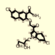 NC(=O)c1cc2cc(Cl)ccc2cc1OCC(=O)c1cn(CC[C@@H](O)CO)c2cc(Cl)ccc12